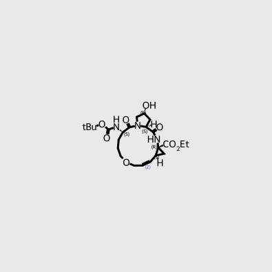 CCOC(=O)[C@@]12C[C@H]1/C=C\COCCC[C@H](NC(=O)OC(C)(C)C)C(=O)N1C[C@H](O)C[C@H]1C(=O)N2